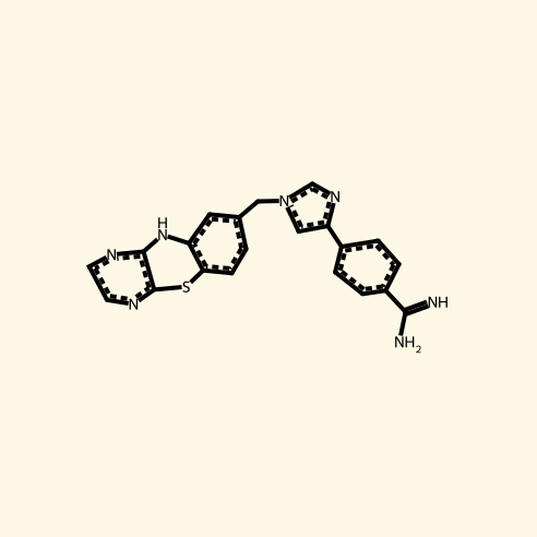 N=C(N)c1ccc(-c2cn(Cc3ccc4c(c3)Nc3nccnc3S4)cn2)cc1